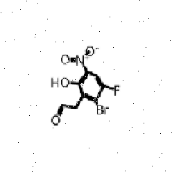 O=CCc1c(O)c([N+](=O)[O-])cc(F)c1Br